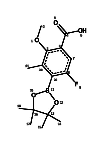 COc1c(C(=O)O)cc(F)c(B2OC(C)(C)C(C)(C)O2)c1C